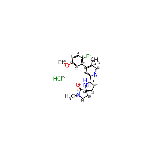 CCOc1ccc(F)c(-c2cc([C@H]3CC[C@]4(CCN(C)C4=O)N3)ncc2C)c1.Cl